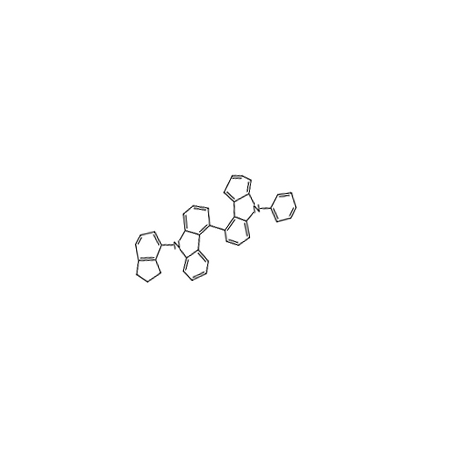 c1ccc(-n2c3ccccc3c3c(-c4cccc5c4c4ccccc4n5-c4cccc5c4CCC5)cccc32)cc1